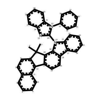 CC1(C)c2ccc3ccccc3c2-c2ccc3c4ccccc4n(-c4nc5ccccc5n4-c4ccccc4)c3c21